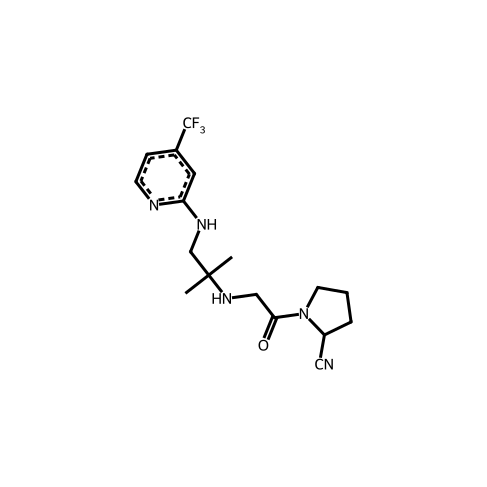 CC(C)(CNc1cc(C(F)(F)F)ccn1)NCC(=O)N1CCCC1C#N